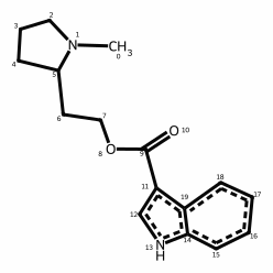 CN1CCCC1CCOC(=O)c1c[nH]c2ccccc12